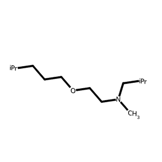 CC(C)CCCOCCN(C)CC(C)C